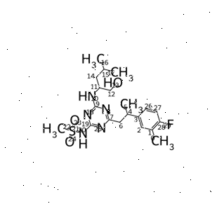 Cc1cc(C(C)Cc2nc(NC(CO)CC(C)C)nc(NS(C)(=O)=O)n2)ccc1F